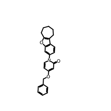 O=c1cc(OCc2ccccc2)ccn1-c1ccc2c3c(oc2c1)CCCCC3